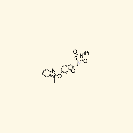 CC(C)N1C(=O)S/C(=C\c2cc3ccc(Oc4nc5ccccc5[nH]4)cc3o2)C1=O